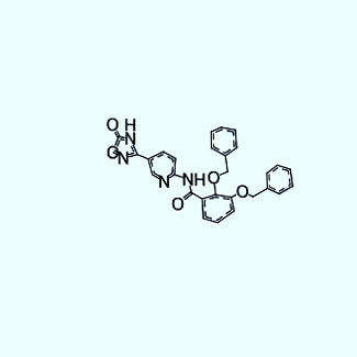 O=C(Nc1ccc(-c2noc(=O)[nH]2)cn1)c1cccc(OCc2ccccc2)c1OCc1ccccc1